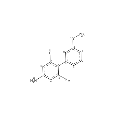 CCCCOc1cccc(-c2c(F)cc(N)cc2F)c1